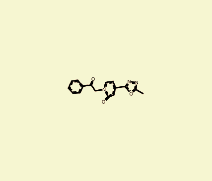 Cc1nnc(-c2ccn(CC(=O)c3ccccc3)c(=O)c2)o1